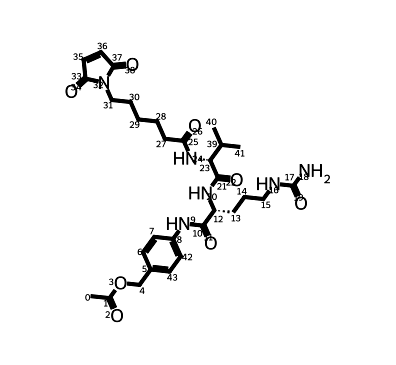 CC(=O)OCc1ccc(NC(=O)[C@@H](CCCNC(N)=O)NC(=O)[C@H](NC(=O)CCCCCN2C(=O)C=CC2=O)C(C)C)cc1